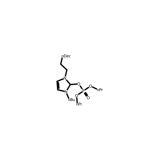 CCCCCCCCCCCCN1C=CN(CCCC)C1OP(=O)(OCCC)OCCC